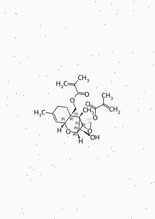 C=C(C)C(=O)OC[C@]12CCC(C)=C[C@H]1O[C@@H]1[C@H](O)[C@@H](OC(=O)C(=C)C)[C@@]2(C)[C@]12CO2